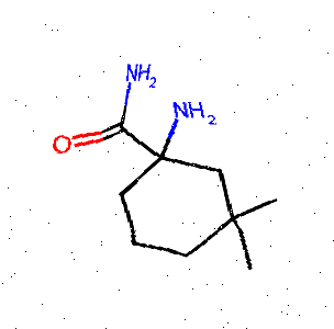 CC1(C)CCCC(N)(C(N)=O)C1